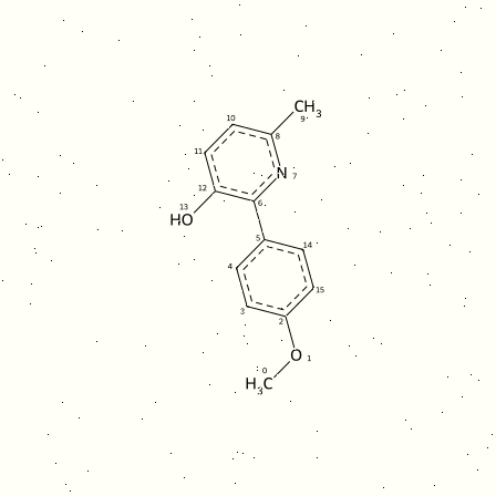 COc1ccc(-c2nc(C)ccc2O)cc1